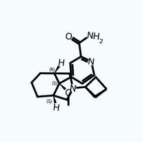 CO[C@]1(c2ccnc(C(N)=O)c2)[C@@H]2CCC[C@H]1CN(C13CC(C1)C3)C2